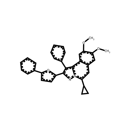 COc1cc2cc(C3CC3)n3nc(-c4ccc(-c5ccccc5)o4)c(-c4ccccc4)c3c2cc1OC